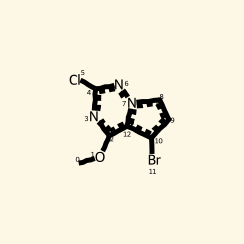 COc1nc(Cl)nn2ccc(Br)c12